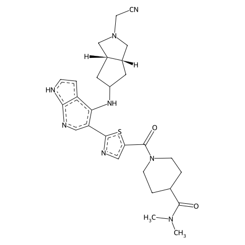 CN(C)C(=O)C1CCN(C(=O)c2cnc(-c3cnc4[nH]ccc4c3NC3C[C@@H]4CN(CC#N)C[C@@H]4C3)s2)CC1